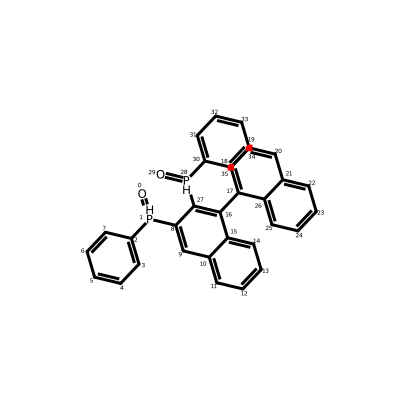 O=[PH](c1ccccc1)c1cc2ccccc2c(-c2cccc3ccccc23)c1[PH](=O)c1ccccc1